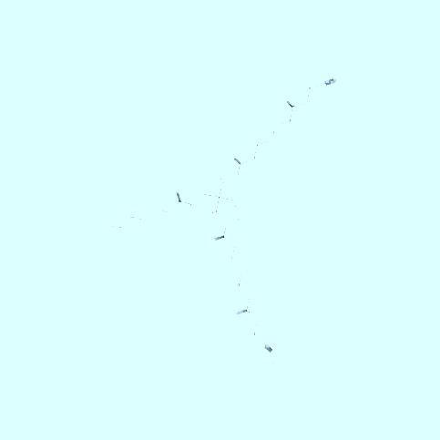 C#CCOC(=O)CCSCCC(=O)OCC(CC)(COC(=O)CCSCCC)COC(=O)CCSCCC(=O)OCC#C